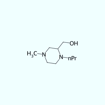 CCCN1CCN(C)CC1CO